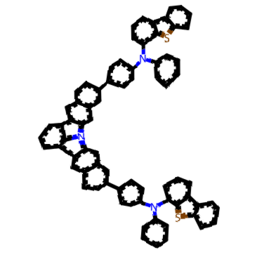 c1ccc(N(c2ccc(-c3ccc4cc5c6cccc7c8cc9ccc(-c%10ccc(N(c%11ccccc%11)c%11cccc%12c%11sc%11ccccc%11%12)cc%10)cc9cc8n(c5cc4c3)c67)cc2)c2cccc3c2sc2ccccc23)cc1